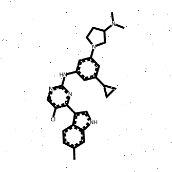 Cc1ccc2c(-c3nc(Nc4cc(C5CC5)cc(N5CCC(N(C)C)C5)c4)ncc3Cl)c[nH]c2c1